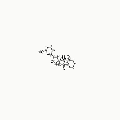 Cc1ccccc1S(=O)(=O)NC1(C(=O)O)C=C(c2cccc(C#N)c2)SC1